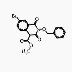 COC(=O)C1C(=O)N(OCc2ccccc2)C(=O)c2cc(Br)ccc21